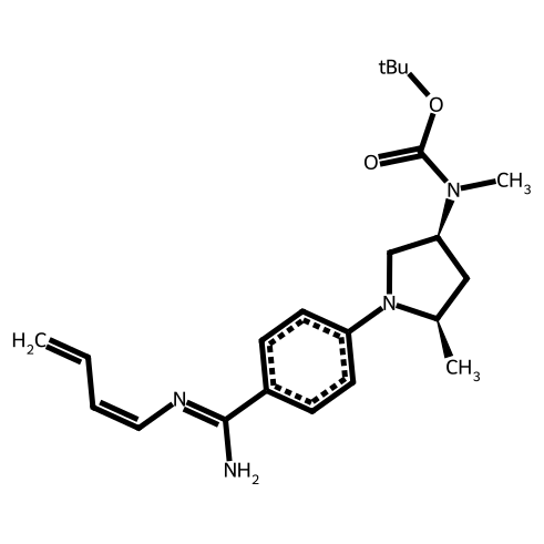 C=C/C=C\N=C(/N)c1ccc(N2C[C@@H](N(C)C(=O)OC(C)(C)C)C[C@H]2C)cc1